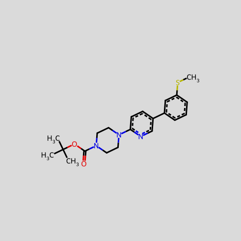 CSc1cccc(-c2ccc(N3CCN(C(=O)OC(C)(C)C)CC3)nc2)c1